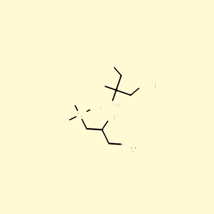 C[N+](C)(C)CC(O)CC(=O)[O-].O=C(O)CC(O)(CC(=O)O)C(=O)O.[MgH2]